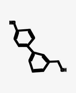 OCc1cccc(-c2ccc(O)cc2)c1